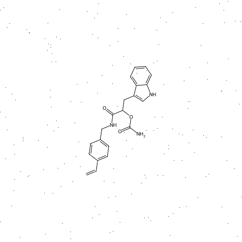 C=Cc1ccc(CNC(=O)C(Cc2c[nH]c3ccccc23)OC(N)=O)cc1